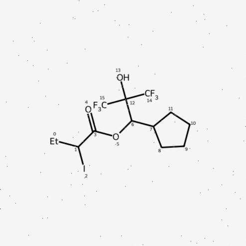 CCC(I)C(=O)OC(C1CCCC1)C(O)(C(F)(F)F)C(F)(F)F